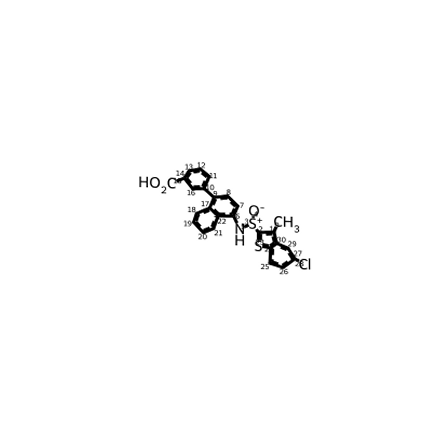 Cc1c([S+]([O-])Nc2ccc(-c3cccc(C(=O)O)c3)c3ccccc23)sc2ccc(Cl)cc12